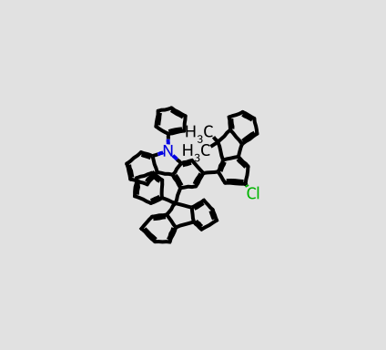 CC1(C)c2ccccc2-c2cc(Cl)cc(-c3cc(C4(c5ccccc5)c5ccccc5-c5ccccc54)c4c5ccccc5n(-c5ccccc5)c4c3)c21